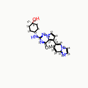 COc1nc(N[C@H]2CC[C@](C)(O)CC2)nn2ccc(-c3ccc4nccn4c3)c12